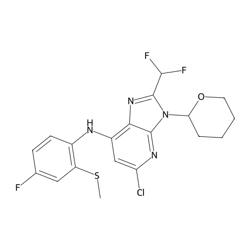 CSc1cc(F)ccc1Nc1cc(Cl)nc2c1nc(C(F)F)n2C1CCCCO1